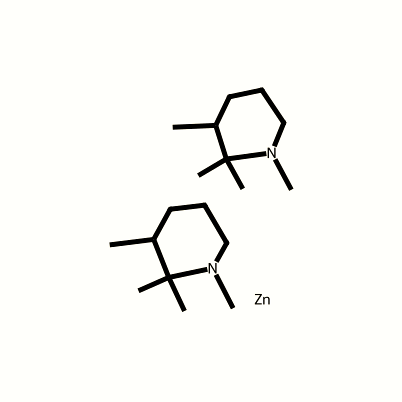 CC1CCCN(C)C1(C)C.CC1CCCN(C)C1(C)C.[Zn]